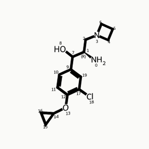 N[C@H](CN1CCC1)C(O)c1ccc(OC2CC2)c(Cl)c1